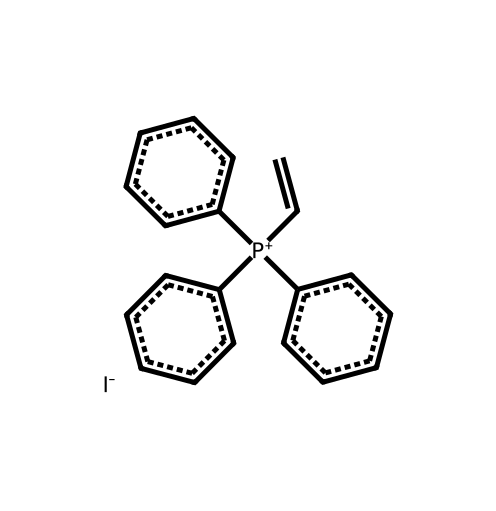 C=C[P+](c1ccccc1)(c1ccccc1)c1ccccc1.[I-]